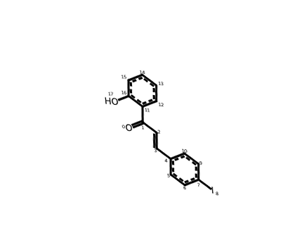 O=C(C=Cc1ccc(I)cc1)c1ccccc1O